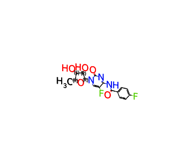 C[C@H]1O[C@@H](n2cc(F)c(NC(=O)c3ccc(F)cc3)nc2=O)[C@H](O)[C@@H]1O